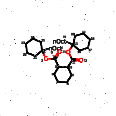 CCCCCCCCC1(OC(=O)C2CCCCC2C(=O)OC2(CCCCCCCC)CCCCC2)CCCCC1